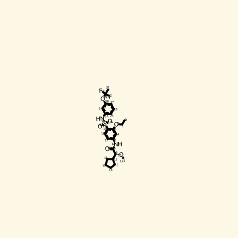 CCOc1cc(NC(=O)[C@H](OI)C2CCCC2)ccc1S(=O)(=O)Nc1cccc(OC(C)(F)F)c1